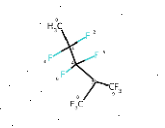 CC(F)(F)C(F)(F)C(C(F)(F)F)C(F)(F)F